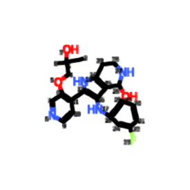 CC(C)(O)COc1cnccc1-c1[nH]c2c(c1Nc1cccc(F)c1)C(O)NCC2